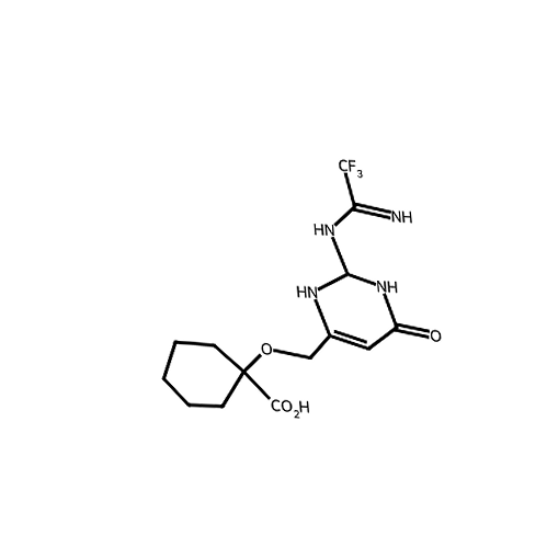 N=C(NC1NC(=O)C=C(COC2(C(=O)O)CCCCC2)N1)C(F)(F)F